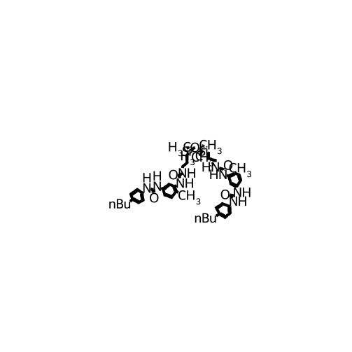 CCCCc1ccc(NC(=O)Nc2ccc(C)c(NC(=O)NCCC[Si](C)(C)O[Si](C)(C)CCCNC(=O)Nc3cc(NC(=O)Nc4ccc(CCCC)cc4)ccc3C)c2)cc1